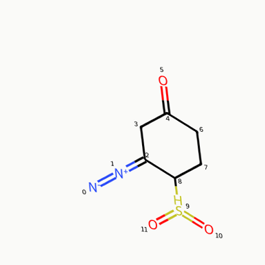 [N-]=[N+]=C1CC(=O)CCC1[SH](=O)=O